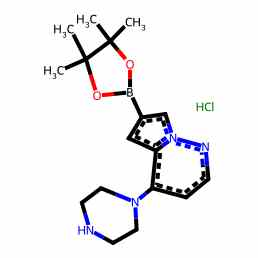 CC1(C)OB(c2cc3c(N4CCNCC4)ccnn3c2)OC1(C)C.Cl